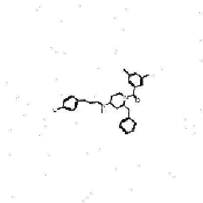 Cc1cc(C)cc(C(=O)N2CC[C@H](NCCCc3ccc(Cl)cc3)C[C@@H]2Cc2ccccc2)c1